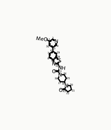 COc1cncc(-c2ccc3nc(NC(=O)N4CCC(N5CCCC5=O)CC4)sc3c2)c1